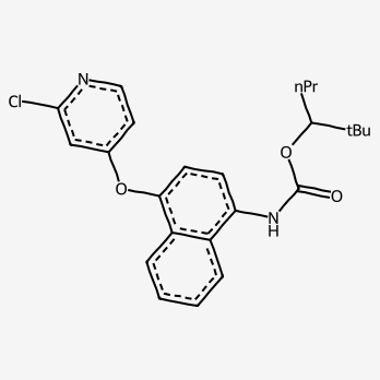 CCCC(OC(=O)Nc1ccc(Oc2ccnc(Cl)c2)c2ccccc12)C(C)(C)C